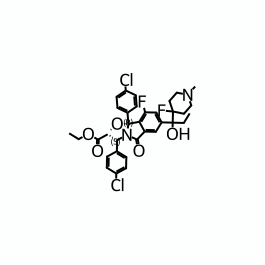 CCOC(=O)C[C@@H](c1ccc(Cl)cc1)N1C(=O)c2cc(C(O)(CC)C3(F)CCN(C)CC3)cc(F)c2[C@]1(OC)c1ccc(Cl)cc1